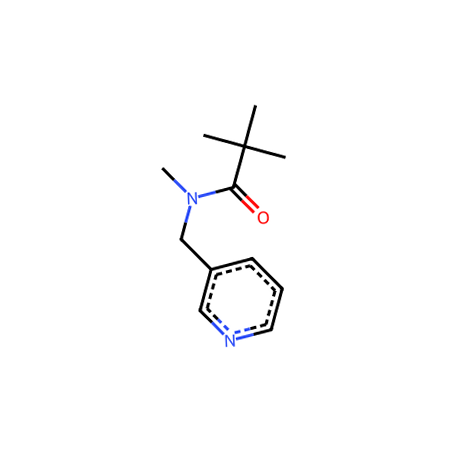 CN(Cc1cccnc1)C(=O)C(C)(C)C